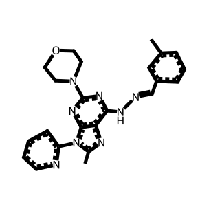 Cc1cccc(C=NNc2nc(N3CCOCC3)nc3c2nc(C)n3-c2ccccn2)c1